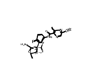 COc1cnc(C(=O)Nc2ccc(F)c([C@]3(C(F)F)N=C(N)OC(C)[C@H]3C)c2)c(C)n1